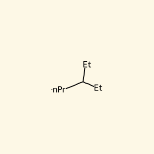 CC[CH]C(CC)CC